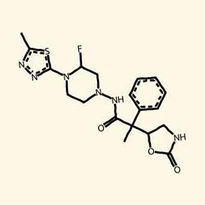 Cc1nnc(N2CCN(NC(=O)C(C)(c3ccccc3)C3CNC(=O)O3)CC2F)s1